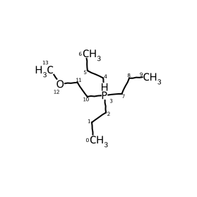 CCC[PH](CCC)(CCC)CCOC